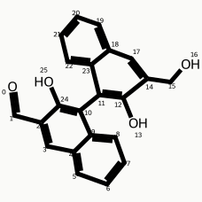 O=Cc1cc2ccccc2c(-c2c(O)c(CO)cc3ccccc23)c1O